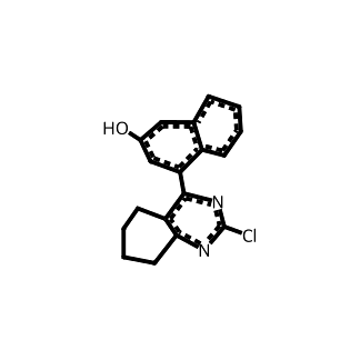 Oc1cc(-c2nc(Cl)nc3c2CCCC3)c2ccccc2c1